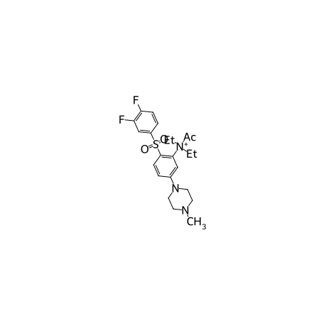 CC[N+](CC)(C(C)=O)c1cc(N2CCN(C)CC2)ccc1S(=O)(=O)c1ccc(F)c(F)c1